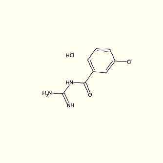 Cl.N=C(N)NC(=O)c1cccc(Cl)c1